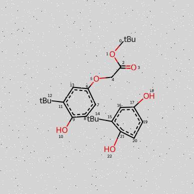 CC(C)(C)OC(=O)COc1ccc(O)c(C(C)(C)C)c1.CC(C)(C)c1cc(O)ccc1O